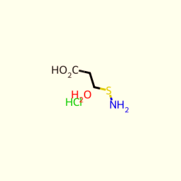 Cl.NSCCC(=O)O.O